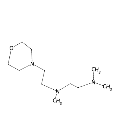 CN(C)CCN(C)CCN1CCOCC1